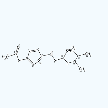 CC(=O)Cc1ccc(OCC(O)CN(C)C(C)C)cc1